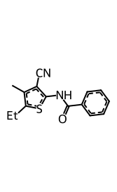 CCc1sc(NC(=O)c2ccccc2)c(C#N)c1C